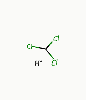 ClC(Cl)Cl.[H+]